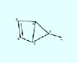 CC1C2C=CC12